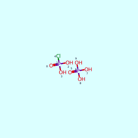 O=P(O)(O)Cl.O=P(O)(O)O